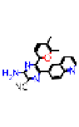 CC1=C(C)OC(c2nc(N)c(C#N)nc2-c2ccc3ncccc3c2)C#C1